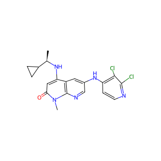 C[C@@H](Nc1cc(=O)n(C)c2ncc(Nc3ccnc(Cl)c3Cl)cc12)C1CC1